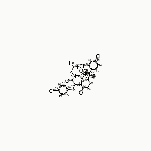 NC(=O)C12CN(CC(F)F)C(=O)C(Cc3ccc(Cl)cc3)N1C(=O)[C]CN2S(=O)(=O)c1ccc(Cl)cc1Cl